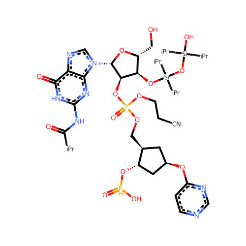 CC(C)C(=O)Nc1nc2c(ncn2[C@@H]2O[C@H](CO)[C@@H](O[Si](O[Si](O)(C(C)C)C(C)C)(C(C)C)C(C)C)[C@H]2OP(=O)(OCCC#N)OC[C@H]2C[C@@H](Oc3ccncn3)C[C@@H]2O[PH](=O)O)c(=O)[nH]1